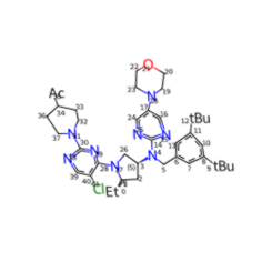 CC[C@@H]1C[C@H](N(Cc2cc(C(C)(C)C)cc(C(C)(C)C)c2)c2ncc(N3CCOCC3)cn2)CN1c1nc(N2CCC(C(C)=O)CC2)ncc1Cl